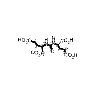 O=C(O)CCC(NC(=O)N[C@@H](CCC(=O)O)C(=O)O)C(=O)O